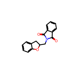 O=C1c2ccccc2C(=O)N1CC1Cc2ccccc2O1